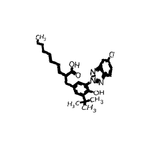 CCCCCCCCC(Cc1cc(-n2nc3ccc(Cl)cc3n2)c(O)c(C(C)(C)C)c1)C(=O)O